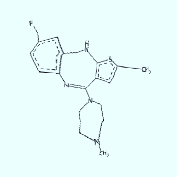 Cc1cc2c(s1)Nc1cc(F)ccc1N=C2N1CCN(C)CC1